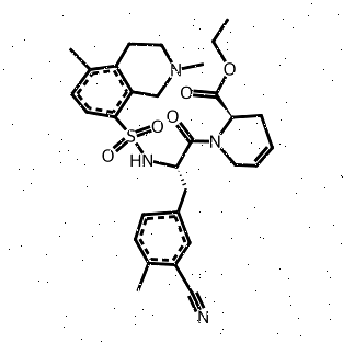 CCOC(=O)[C@H]1CC=CCN1C(=O)[C@H](Cc1ccc(C)c(C#N)c1)NS(=O)(=O)c1ccc(C)c2c1CN(C)CC2